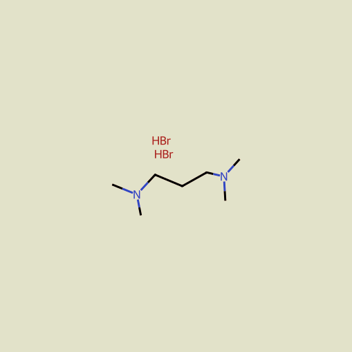 Br.Br.CN(C)CCCN(C)C